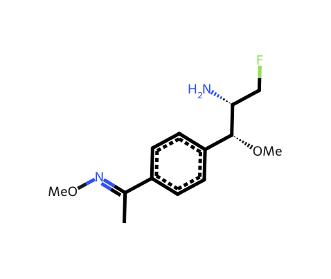 CO/N=C(\C)c1ccc([C@@H](OC)[C@H](N)CF)cc1